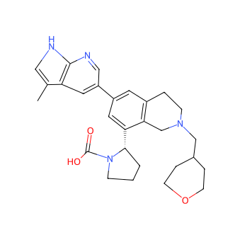 Cc1c[nH]c2ncc(-c3cc4c(c([C@@H]5CCCN5C(=O)O)c3)CN(CC3CCOCC3)CC4)cc12